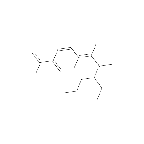 C=C(C)C(=C)/C=C\C(C)=C(/C)N(C)C(CC)CCC